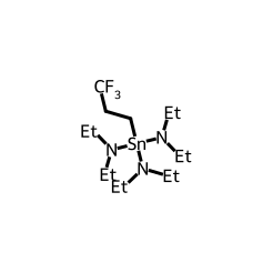 CC[N](CC)[Sn]([CH2]CC(F)(F)F)([N](CC)CC)[N](CC)CC